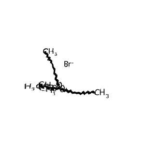 CCCCCCCCCCCCCCCCOC[C@H](COCOCC[N+](C)(C)C)OCCCCCCCCCCCCCCCC.[Br-]